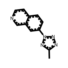 Cc1nnn(-c2ccc3ccncc3c2)n1